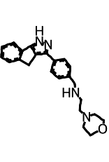 c1ccc2c(c1)Cc1c(-c3ccc(CNCCN4CCOCC4)cc3)n[nH]c1-2